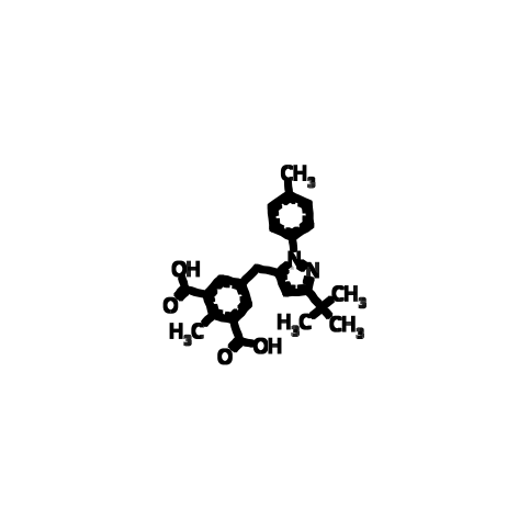 Cc1ccc(-n2nc(C(C)(C)C)cc2Cc2cc(C(=O)O)c(C)c(C(=O)O)c2)cc1